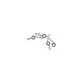 Cn1c(CCc2ccc(C#N)cc2)nc2cc(C(=O)N(CCCc3ccccc3)Cc3ccc(C#N)cc3)ccc21